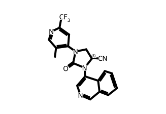 Cc1cnc(C(F)(F)F)cc1N1C[C@@H](C#N)N(c2cncc3ccccc23)C1=O